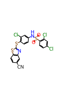 N#Cc1ccc2sc(Sc3ccc(NS(=O)(=O)c4ccc(Cl)cc4Cl)cc3Cl)nc2c1